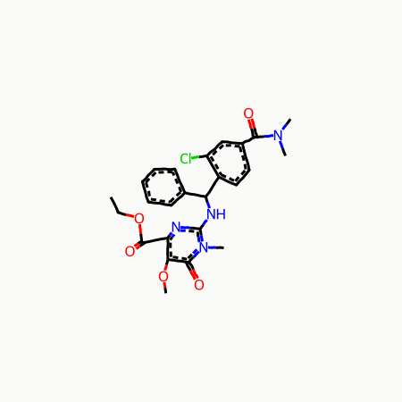 CCOC(=O)c1nc(NC(c2ccccc2)c2ccc(C(=O)N(C)C)cc2Cl)n(C)c(=O)c1OC